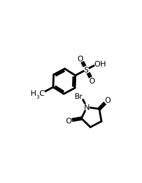 Cc1ccc(S(=O)(=O)O)cc1.O=C1CCC(=O)N1Br